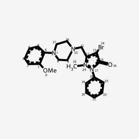 COc1ccccc1N1CCN(Cc2c(Br)c(=O)n(-c3ccccc3)n2C)CC1